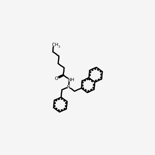 CCCCCC(=O)NN(Cc1ccccc1)Cc1ccc2ccccc2c1